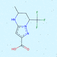 CC1CC(C(F)(F)F)n2nc(C(=O)O)cc2N1